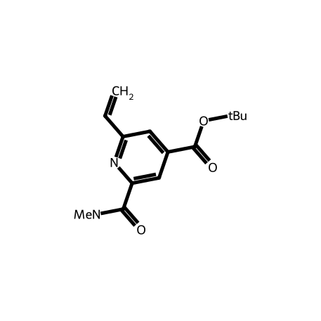 C=Cc1cc(C(=O)OC(C)(C)C)cc(C(=O)NC)n1